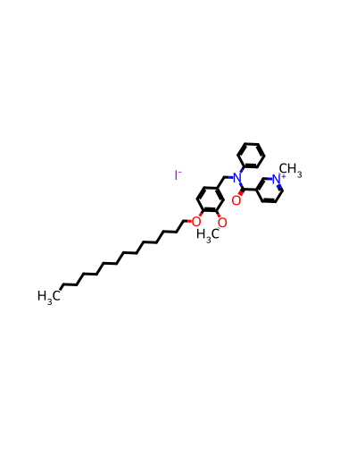 CCCCCCCCCCCCCCOc1ccc(CN(C(=O)c2ccc[n+](C)c2)c2ccccc2)cc1OC.[I-]